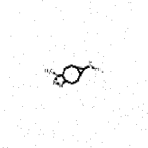 CNC1C2CCc3nnn(C)c3CCC21